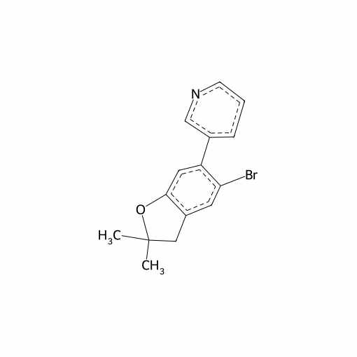 CC1(C)Cc2cc(Br)c(-c3cccnc3)cc2O1